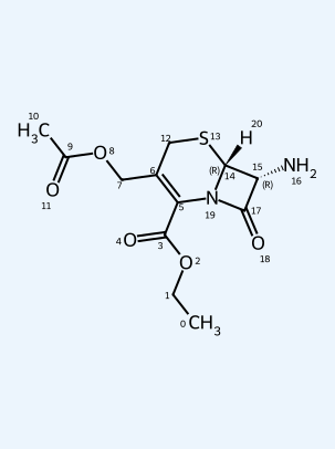 CCOC(=O)C1=C(COC(C)=O)CS[C@@H]2[C@H](N)C(=O)N12